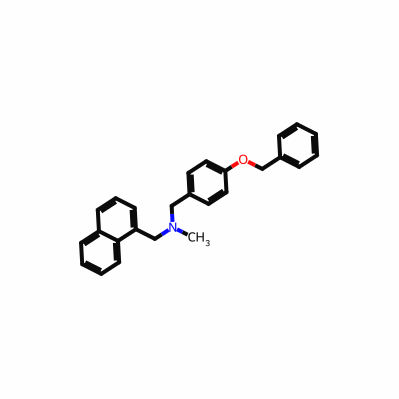 CN(Cc1ccc(OCc2ccccc2)cc1)Cc1cccc2ccccc12